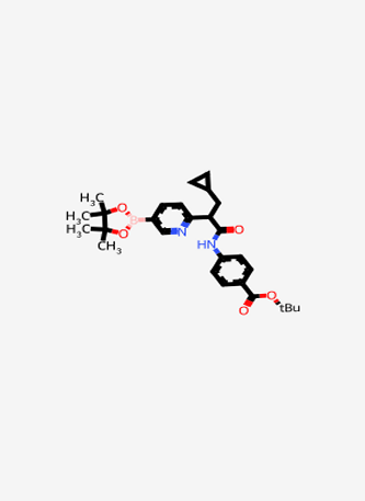 CC(C)(C)OC(=O)c1ccc(NC(=O)C(CC2CC2)c2ccc(B3OC(C)(C)C(C)(C)O3)cn2)cc1